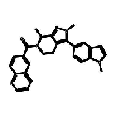 CC1c2nn(C)c(-c3ccc4c(ccn4C)c3)c2CCN1C(=O)c1ccc2ncccc2c1